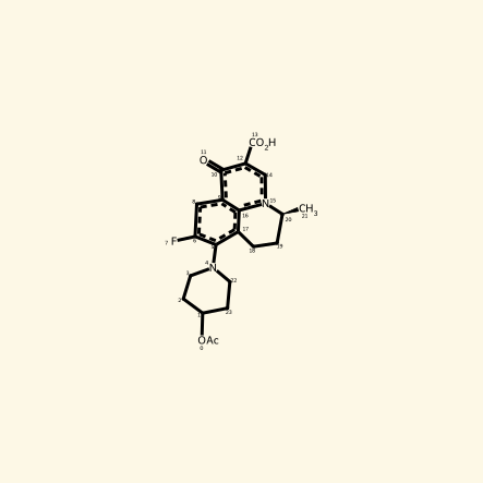 CC(=O)OC1CCN(c2c(F)cc3c(=O)c(C(=O)O)cn4c3c2CC[C@@H]4C)CC1